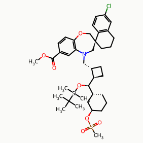 COC(=O)c1ccc2c(c1)N(C[C@@H]1CC[C@H]1[C@H](O[Si](C)(C)C(C)(C)C)[C@@H]1CCC[C@@H](OS(C)(=O)=O)C1)C[C@@]1(CCCc3cc(Cl)ccc31)CO2